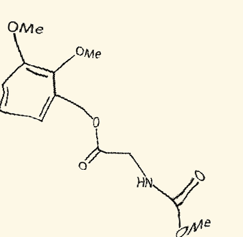 COC(=O)NCC(=O)Oc1cccc(OC)c1OC